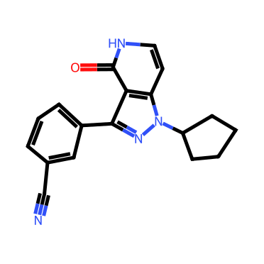 N#Cc1cccc(-c2nn(C3CCCC3)c3cc[nH]c(=O)c23)c1